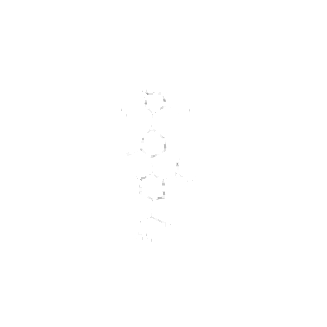 COC(=O)c1cnc(-c2ccc(-c3c(C)noc3C)cc2F)c([N+](=O)[O-])c1